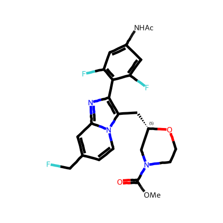 COC(=O)N1CCO[C@@H](Cc2c(-c3c(F)cc(NC(C)=O)cc3F)nc3cc(CF)ccn23)C1